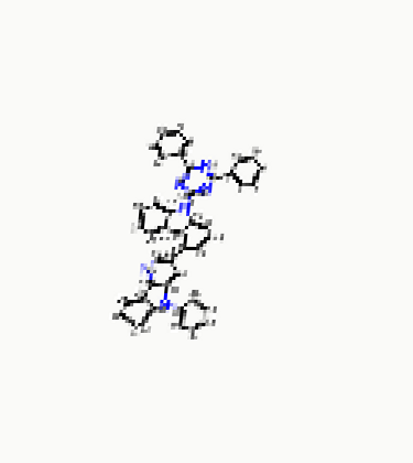 c1ccc(-c2nc(-c3ccccc3)nc(-n3c4ccccc4c4c(-c5cnc6c7ccccc7n(-c7ccccc7)c6c5)cccc43)n2)cc1